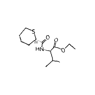 CCOC(=O)C(NC(=O)[C@@H]1CCCCS1)C(C)C